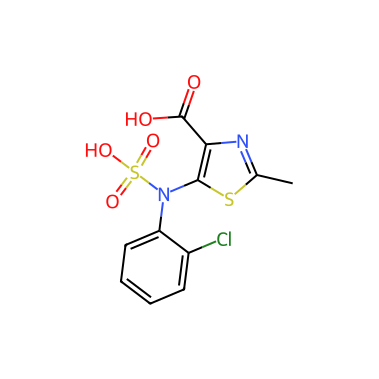 Cc1nc(C(=O)O)c(N(c2ccccc2Cl)S(=O)(=O)O)s1